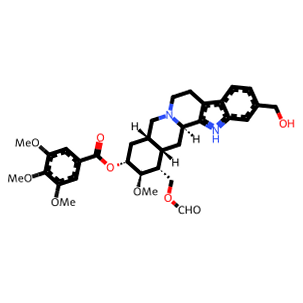 COc1cc(C(=O)O[C@@H]2C[C@@H]3CN4CCc5c([nH]c6cc(CO)ccc56)[C@H]4C[C@@H]3[C@H](COC=O)[C@H]2OC)cc(OC)c1OC